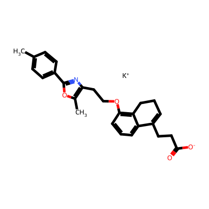 Cc1ccc(-c2nc(CCOc3cccc4c3CCC=C4CCC(=O)[O-])c(C)o2)cc1.[K+]